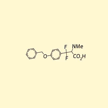 CNC(C(=O)O)C(F)(F)c1ccc(OCc2ccccc2)cc1